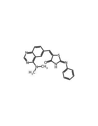 CN(C)c1ncnc2ccc(C=C3SC(=Nc4ccccc4)NC3=O)cc12